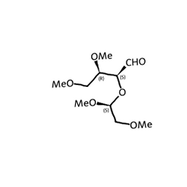 COC[C@@H](OC)O[C@H](C=O)[C@@H](COC)OC